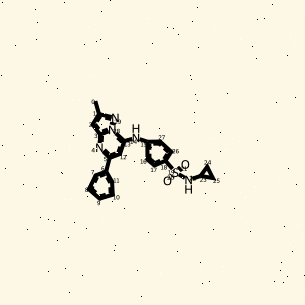 Cc1cc2nc(-c3ccccc3)cc(Nc3ccc(S(=O)(=O)NC4CC4)cc3)n2n1